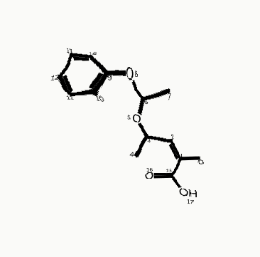 CC(=CC(C)OC(C)Oc1ccccc1)C(=O)O